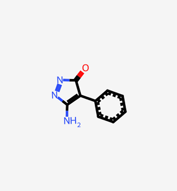 NC1=C(c2ccccc2)C(=O)N=N1